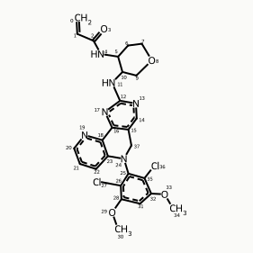 C=CC(=O)NC1CCOCC1Nc1ncc2c(n1)-c1ncccc1N(c1c(Cl)c(OC)cc(OC)c1Cl)C2